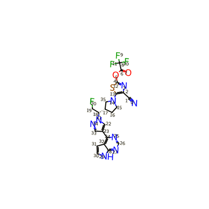 N#Cc1nc(OC(=O)C(F)(F)F)sc1N1CC[C@H](C(CF)n2cc(-c3ncnc4[nH]ccc34)cn2)C1